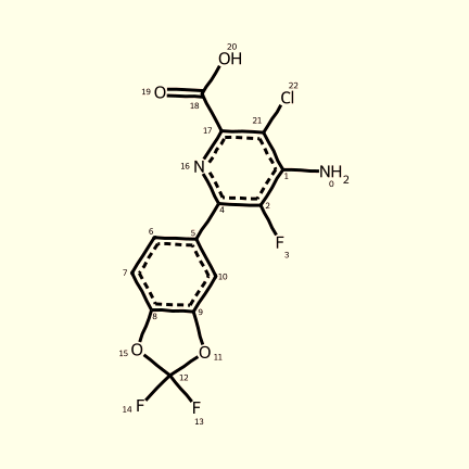 Nc1c(F)c(-c2ccc3c(c2)OC(F)(F)O3)nc(C(=O)O)c1Cl